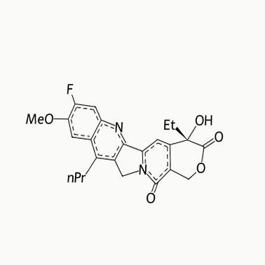 CCCc1c2c(nc3cc(F)c(OC)cc13)-c1cc3c(c(=O)n1C2)COC(=O)[C@]3(O)CC